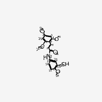 COc1cc(OC)c(C=CC(=O)Nc2ccc(OC)c(S)c2)c(OC)c1